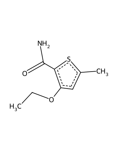 CCOc1cc(C)sc1C(N)=O